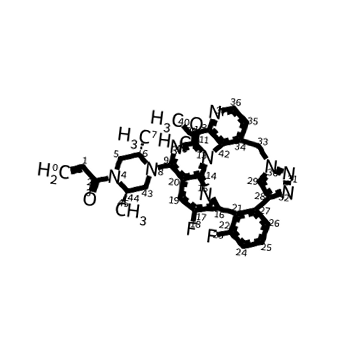 C=CC(=O)N1C[C@H](C)N(c2nc(=O)n3c4nc(c(F)cc24)-c2c(F)cccc2-c2cn(nn2)Cc2ccnc(C(C)C)c2-3)C[C@H]1C